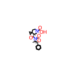 C[C@@H]1[C@H](c2ccccc2)OC(=O)N1C(=O)[C@H]1CN(C(=O)O)CCC12CC2